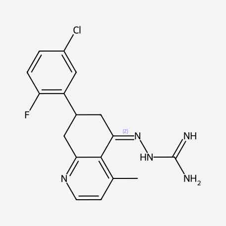 Cc1ccnc2c1/C(=N\NC(=N)N)CC(c1cc(Cl)ccc1F)C2